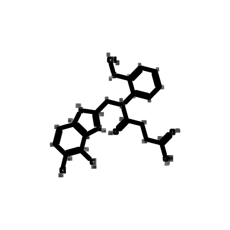 CSc1ccccc1N(Cc1nc2c(Cl)c(Cl)ccc2s1)C(=O)CCC(=O)O